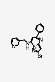 Brc1cc2nc(-c3ccccc3)cc(NCc3cccnc3)n2n1